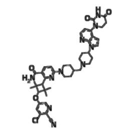 CC1(C)C(Oc2cnc(C#N)c(Cl)c2)C(C)(C)C1c1nc(N2CCC(CN3CCC(n4ccc5c(N6CCC(=O)NC6=O)ccnc54)CC3)CC2)ccc1C(N)=O